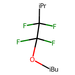 CCC(C)OC(F)(F)C(F)(F)C(C)C